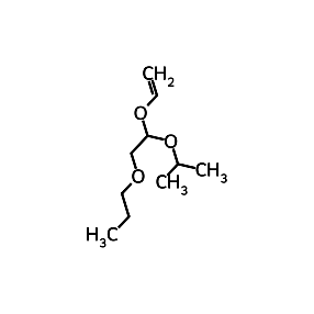 C=COC(COCCC)OC(C)C